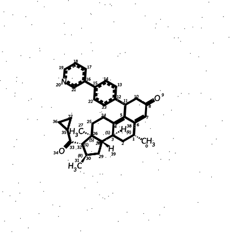 C[C@@H]1C[C@@H]2C(=C3C1=CC(=O)CC3c1ccc(-c3cccnc3)cc1)CC[C@@]1(C)[C@H]2C[C@@H](C)[C@@H]1C(=O)C1CC1